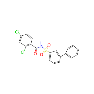 O=C(NS(=O)(=O)c1cccc(-c2ccccc2)c1)c1ccc(Cl)cc1Cl